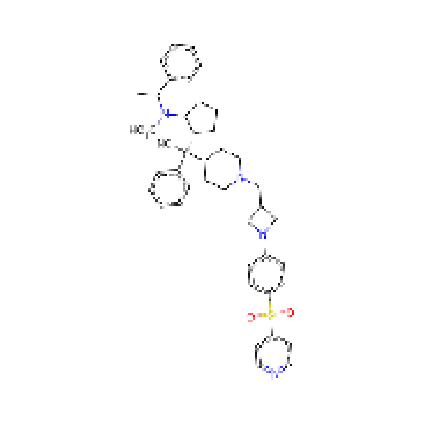 CC(c1ccccc1)N(C(=O)O)[C@H]1CCC[C@@H]1C(C#N)(c1ccccc1)C1CCN(CC2CN(c3ccc(S(=O)(=O)c4ccncc4)cc3)C2)CC1